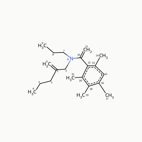 C=C(CCC)CN(CCC)C(=C)c1c(C)cc(C)c(C)c1C